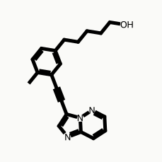 Cc1ccc(CCCCCO)cc1C#Cc1cnc2cccnn12